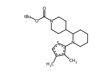 Cc1csc(N2CCCCC2C2CCN(C(=O)OC(C)(C)C)CC2)c1C